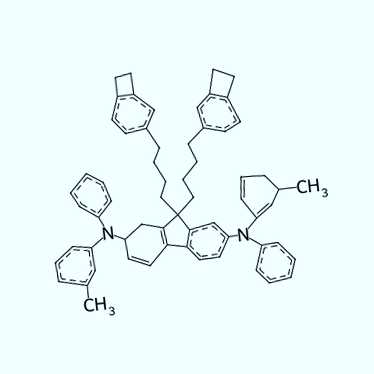 Cc1cccc(N(c2ccccc2)C2C=CC3=C(C2)C(CCCCc2ccc4c(c2)CC4)(CCCCc2ccc4c(c2)CC4)c2cc(N(C4=CC(C)CC=C4)c4ccccc4)ccc23)c1